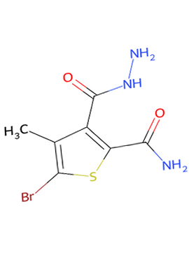 Cc1c(Br)sc(C(N)=O)c1C(=O)NN